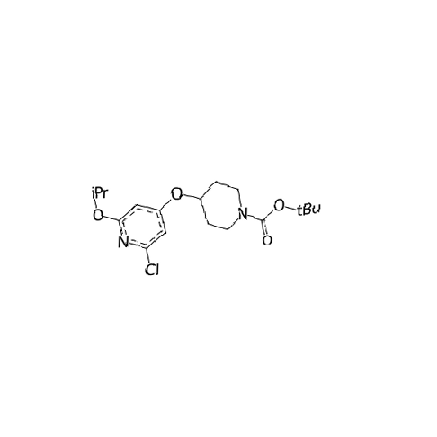 CC(C)Oc1cc(OC2CCN(C(=O)OC(C)(C)C)CC2)cc(Cl)n1